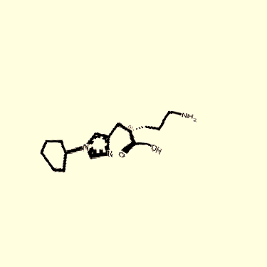 NCCC[C@@H](Cc1cn(C2CCCCC2)cn1)C(=O)O